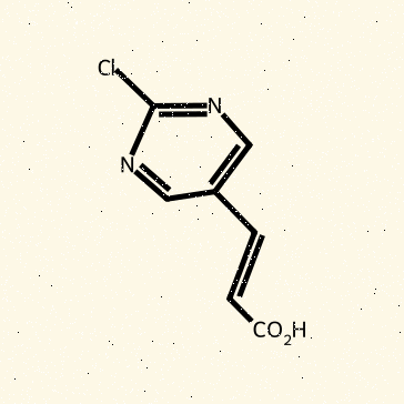 O=C(O)C=Cc1cnc(Cl)nc1